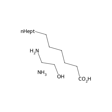 CCCCCCCCCCCCC(=O)O.N.NCCO